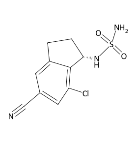 N#Cc1cc(Cl)c2c(c1)CC[C@@H]2NS(N)(=O)=O